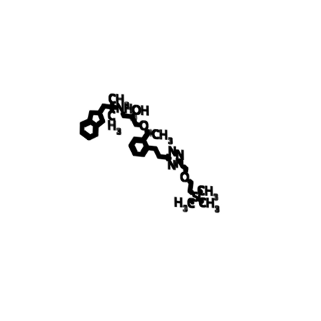 C[C@@H](OC[C@H](O)CNC(C)(C)CC1Cc2ccccc2C1)c1ccccc1CCc1nnn(COCC[Si](C)(C)C)n1